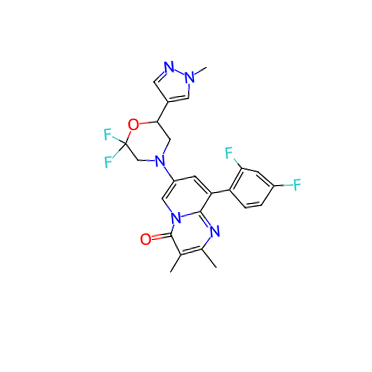 Cc1nc2c(-c3ccc(F)cc3F)cc(N3CC(c4cnn(C)c4)OC(F)(F)C3)cn2c(=O)c1C